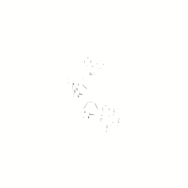 COC(=O)[C@@H]1CCc2c(-c3cncc(OC(F)(F)C(F)F)c3)nn(C(C)C)c2C1